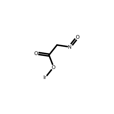 O=NCC(=O)[O][Ir]